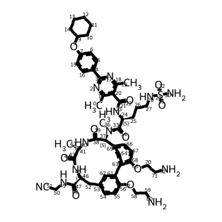 Cc1nc(-c2ccc(OC3CCCCC3)cc2)nc(C)c1C(=O)N[C@@H](CCCNS(N)(=O)=O)C(=O)N(C)[C@@H]1C(=O)N[C@@H](C)C(=O)N[C@H](C(=O)NCC#N)Cc2ccc(OCCN)c(c2)-c2cc1ccc2OCCN